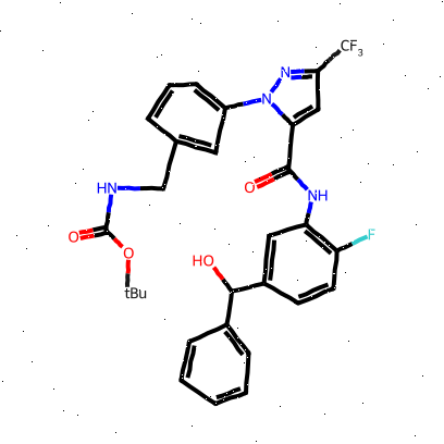 CC(C)(C)OC(=O)NCc1cccc(-n2nc(C(F)(F)F)cc2C(=O)Nc2cc(C(O)c3ccccc3)ccc2F)c1